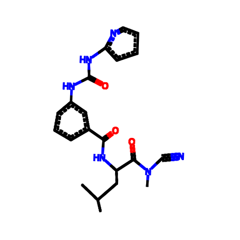 CC(C)CC(NC(=O)c1cccc(NC(=O)Nc2ccccn2)c1)C(=O)N(C)C#N